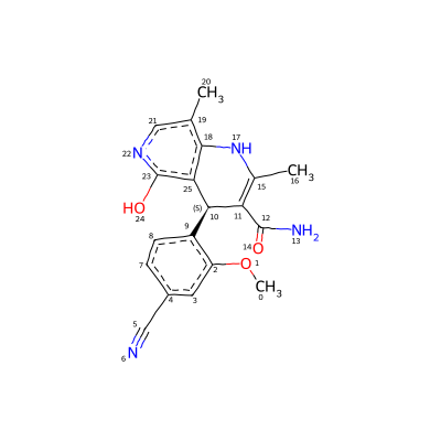 COc1cc(C#N)ccc1[C@@H]1C(C(N)=O)=C(C)Nc2c(C)cnc(O)c21